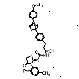 Cc1ccc(C(C)C)c(N2C(=O)CS/C2=N\C(=O)NC(C)CCc2ccc(-c3ncn(-c4ccc(OC(F)(F)F)cc4)n3)cc2)c1